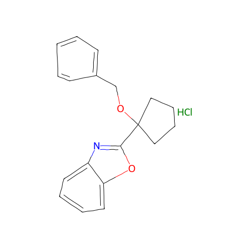 Cl.c1ccc(COC2(c3nc4ccccc4o3)CCCC2)cc1